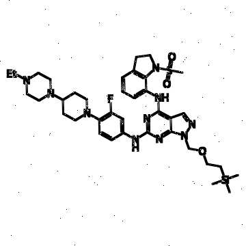 CCN1CCN(C2CCN(c3ccc(Nc4nc(Nc5cccc6c5N(S(C)(=O)=O)CC6)c5cnn(COCC[Si](C)(C)C)c5n4)cc3F)CC2)CC1